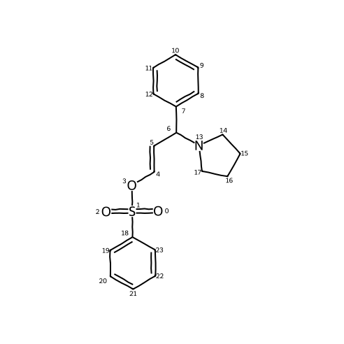 O=S(=O)(OC=CC(c1ccccc1)N1CCCC1)c1ccccc1